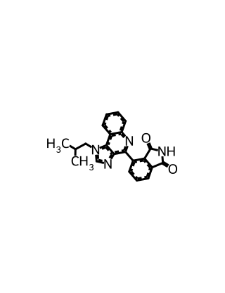 CC(C)Cn1cnc2c(-c3cccc4c3C(=O)NC4=O)nc3ccccc3c21